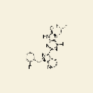 O=c1[nH]c2nc(-c3nn(Cc4ccccc4F)c4ncccc34)nc(I)c2n1CC(F)F